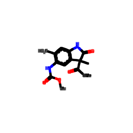 COC(=O)C1(C)C(=O)Nc2cc(C(=O)O)c(NC(=O)OC(C)(C)C)cc21